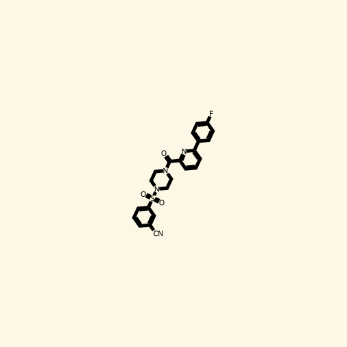 N#Cc1cccc(S(=O)(=O)N2CCN(C(=O)c3cccc(-c4ccc(F)cc4)n3)CC2)c1